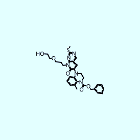 CSc1ncc2cc(N3CCN(C(=O)OCc4ccccc4)c4c(C)cccc43)c(=O)n(CCCOCCO)c2n1